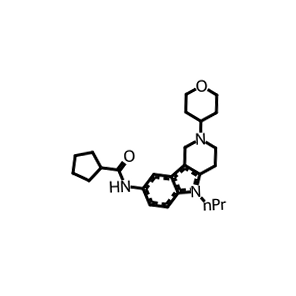 CCCn1c2c(c3cc(NC(=O)C4CCCC4)ccc31)CN(C1CCOCC1)CC2